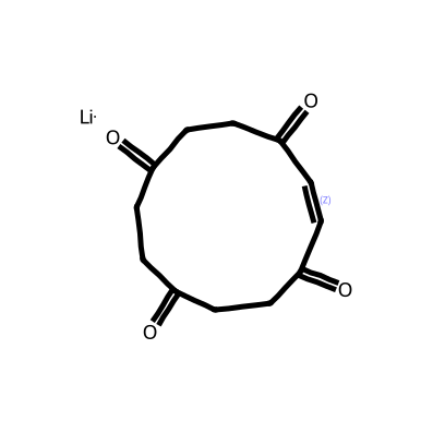 O=C1/C=C\C(=O)CCC(=O)CCC(=O)CC1.[Li]